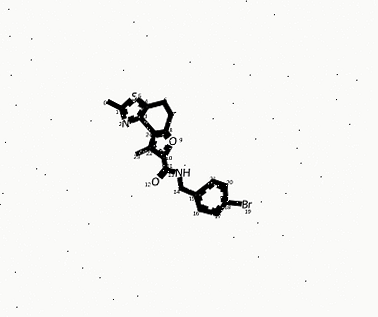 Cc1nc2c(s1)CCc1oc(C(=O)NCc3ccc(Br)cc3)c(C)c1-2